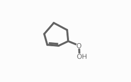 OOC1C=CCCC1